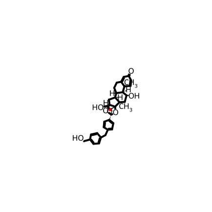 C[C@]12C=CC(=O)C=C1CC[C@@H]1[C@@H]2[C@@H](O)C[C@@]2(C)[C@H]1C[C@H]1O[C@@H](c3ccc(Cc4ccc(CO)cc4)cc3)O[C@]12C(=O)CO